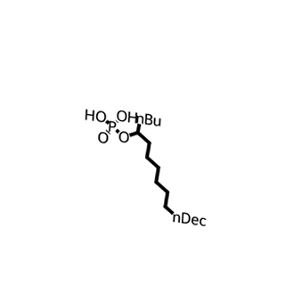 CCCCCCCCCCCCCCCCC(CCCC)OP(=O)(O)O